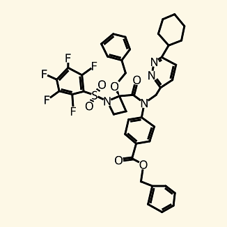 O=C(OCc1ccccc1)c1ccc(N(Cc2ccc(C3CCCCC3)nn2)C(=O)[C@]2(OCc3ccccc3)CCN2S(=O)(=O)c2c(F)c(F)c(F)c(F)c2F)cc1